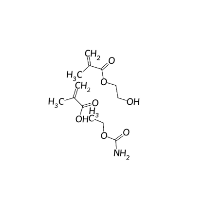 C=C(C)C(=O)O.C=C(C)C(=O)OCCO.CCOC(N)=O